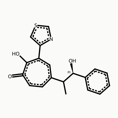 CC(c1ccc(=O)c(O)c(-c2cscn2)c1)[C@@H](O)c1ccccc1